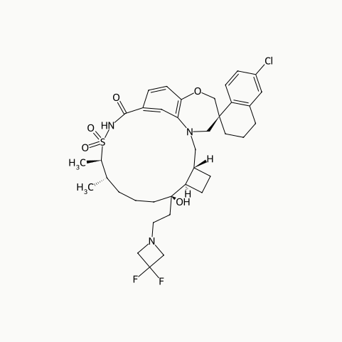 C[C@@H]1[C@@H](C)CCC[C@@](O)(CCN2CC(F)(F)C2)[C@@H]2CC[C@H]2CN2C[C@@]3(CCCc4cc(Cl)ccc43)COc3ccc(cc32)C(=O)NS1(=O)=O